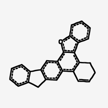 C1=Cc2c(c3c4ccccc4oc3c3cc4c(cc23)Cc2ccccc2-4)CC1